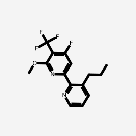 CCCc1cccnc1-c1cc(F)c(C(F)(F)F)c(OC)n1